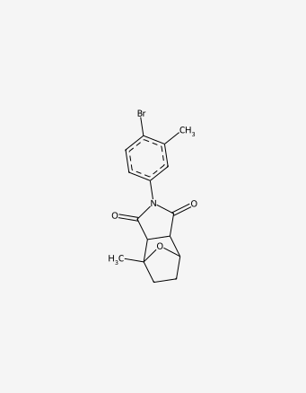 Cc1cc(N2C(=O)C3C4CCC(C)(O4)C3C2=O)ccc1Br